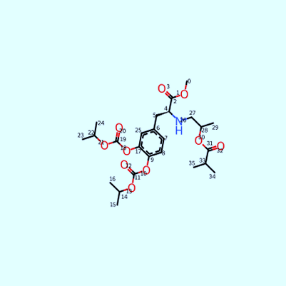 COC(=O)[C@H](Cc1ccc(OC(=O)OC(C)C)c(OC(=O)OC(C)C)c1)NCC(C)OC(=O)C(C)C